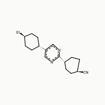 CC[C@H]1CC[C@H](c2cnc([C@H]3CC[C@H](C#N)CC3)nc2)CC1